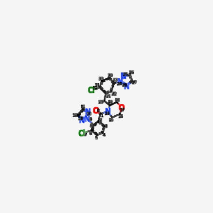 O=C(c1cccc(Cl)c1-n1nccn1)N1CCOCC1Cc1cc(-n2nccn2)ccc1Cl